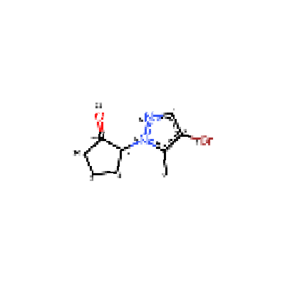 Cc1c(Br)cnn1C1CCCC1=O